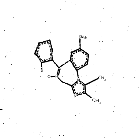 CSc1ccc2c(c1)C(c1ccccc1F)=[N+]([O-])Cc1nc(C)c(C)n1-2